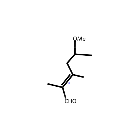 COC(C)C/C(C)=C(\C)C=O